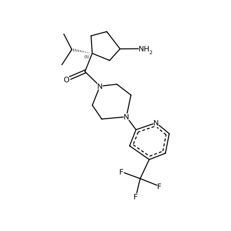 CC(C)[C@]1(C(=O)N2CCN(c3cc(C(F)(F)F)ccn3)CC2)CCC(N)C1